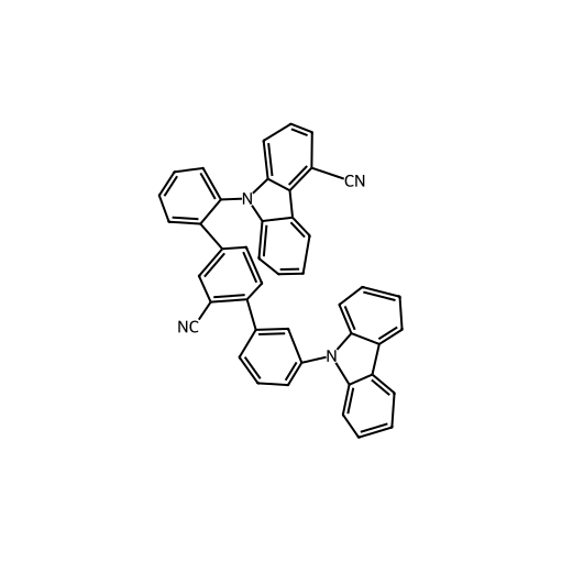 N#Cc1cc(-c2ccccc2-n2c3ccccc3c3c(C#N)cccc32)ccc1-c1cccc(-n2c3ccccc3c3ccccc32)c1